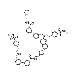 NS(=O)(=O)c1ccc(CCN(Cc2cccc(-c3cccc(C(=O)NCCN4CCCC4)c3)c2)C(=O)C=Cc2ccccc2)cc1.NS(=O)(=O)c1ccc(CCNCc2cccc(-c3cccc(C(=O)NCCN4CCCC4)c3)c2)cc1